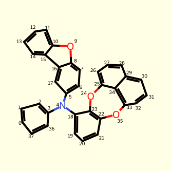 c1ccc(N(c2ccc3oc4ccccc4c3c2)c2cccc3c2Oc2cccc4cccc(c24)O3)cc1